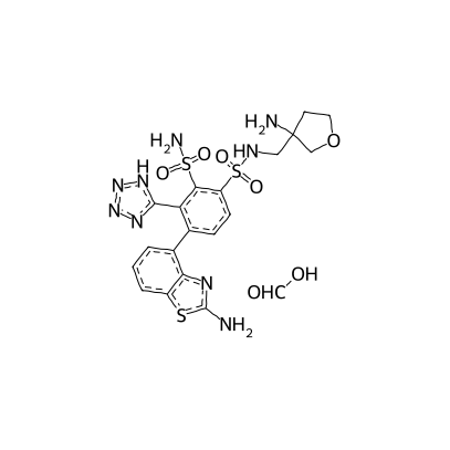 Nc1nc2c(-c3ccc(S(=O)(=O)NCC4(N)CCOC4)c(S(N)(=O)=O)c3-c3nnn[nH]3)cccc2s1.O=CO